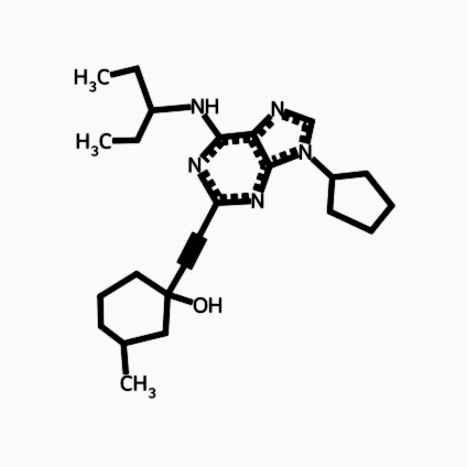 CCC(CC)Nc1nc(C#CC2(O)CCCC(C)C2)nc2c1ncn2C1CCCC1